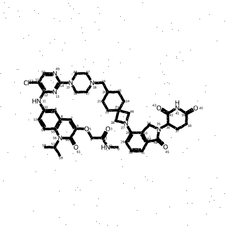 CNC(=O)COc1cc2cc(Nc3nc(N4CCN(CC5CCC6(CC5)CN(c5cccc7c5CN(C5CCC(=O)NC5=O)C7=O)C6)CC4)ncc3Cl)ccc2n(C(C)C)c1=O